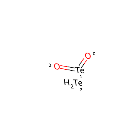 O=[Te]=O.[TeH2]